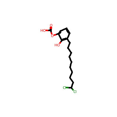 O=C(O)Oc1cccc(CCCCCCCCCC(Cl)Cl)c1O